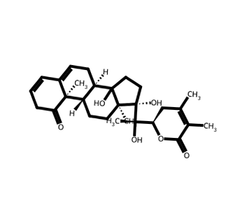 CC1=C(C)C(=O)O[C@@H]([C@](C)(O)[C@]2(O)CCC3(O)[C@@H]4CC=C5C=CCC(=O)[C@]5(C)[C@H]4CC[C@@]32C)C1